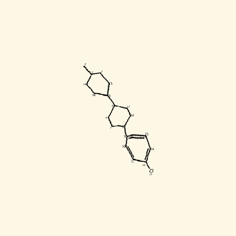 CC1CCC([C]2CCC(c3ccc(Cl)cc3)CC2)CC1